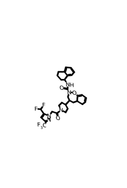 O=C(Cn1nc(C(F)(F)F)cc1C(F)F)N1CCC(C2CC3CC=CC=C3ON(C(=O)NC3CCCc4ccccc43)C2)CC1